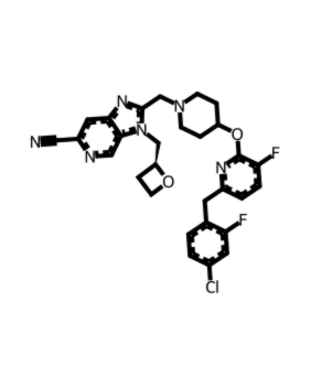 N#Cc1cc2nc(CN3CCC(Oc4nc(Cc5ccc(Cl)cc5F)ccc4F)CC3)n(C[C@@H]3CCO3)c2cn1